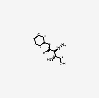 [N-]=[N+]=C(C(=O)CC1CCCCC1)C(O)CO